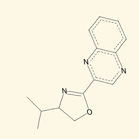 CC(C)C1COC(c2cnc3ccccc3n2)=N1